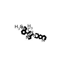 Cc1nc(N2CCC3(CC2)Cc2cccnc2C3)c2ccnn2c1-c1cccc2c1ccn2C